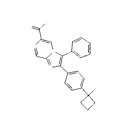 NC(=O)c1cn2c(-c3ccccc3)c(-c3ccc(C4(N)CCC4)cc3)nc2cn1